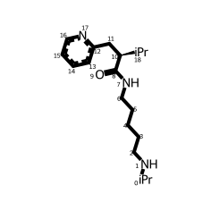 CC(C)NCCCCCNC(=O)[C@@H](Cc1ccccn1)C(C)C